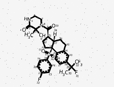 CC1(C)C(=O)NCCN1C(=O)[C@@H]1CC[C@@]2(S(=O)(=O)c3ccc(F)cc3)c3ccc(C(C)(F)C(F)(F)F)cc3CC[C@@H]12